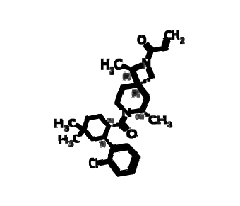 C=CC(=O)N1C[C@]2(CCN(C(=O)[C@H]3CCC(C)(C)C[C@@H]3c3ccccc3Cl)[C@@H](C)C2)[C@H]1C